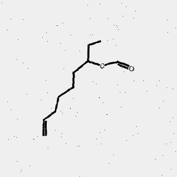 C=CCCCCC(CC)O[C]=O